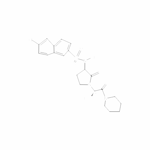 C[C@H](C(=O)N1CCCCC1)N1CCC(N(C)S(=O)(=O)c2ccc3cc(Cl)ccc3c2)C1=O